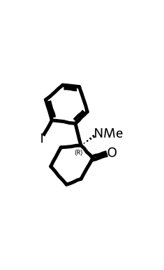 CN[C@@]1(c2ccccc2I)CCCCC1=O